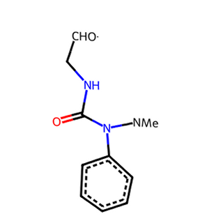 CNN(C(=O)NC[C]=O)c1ccccc1